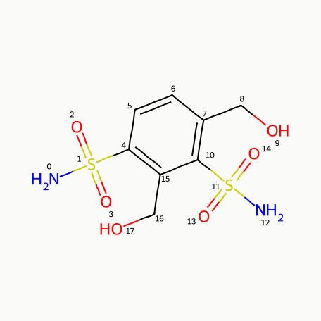 NS(=O)(=O)c1ccc(CO)c(S(N)(=O)=O)c1CO